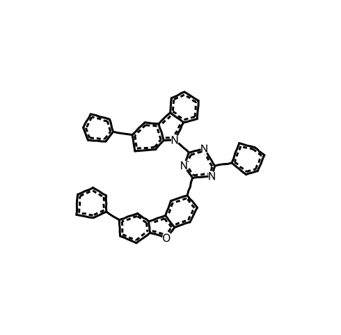 c1ccc(-c2ccc3oc4ccc(-c5nc(-c6ccccc6)nc(-n6c7ccccc7c7cc(-c8ccccc8)ccc76)n5)cc4c3c2)cc1